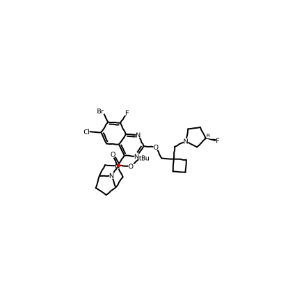 CC(C)(C)OC(=O)N1C2CCC1CN(c1nc(OCC3(CN4CC[C@@H](F)C4)CCC3)nc3c(F)c(Br)c(Cl)cc13)C2